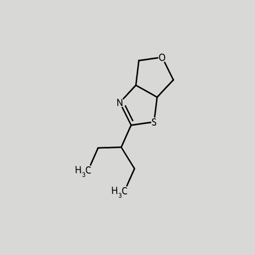 CCC(CC)C1=NC2COCC2S1